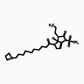 CCC[C@H]1C(=O)N(S(C)(=O)=O)C2=CCN(C(=O)CCCCCCCCCN3CCC3)[C@@H]21